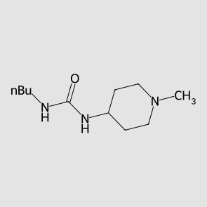 CCCCNC(=O)NC1CCN(C)CC1